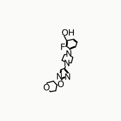 OCc1cccc(N2CCN(c3cnc(OC4CCOCC4)nc3)CC2)c1F